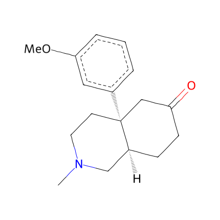 COc1cccc([C@@]23CCN(C)C[C@@H]2CCC(=O)C3)c1